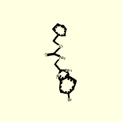 O=C(NCc1nc2cc(Br)ccc2[nH]1)OCc1ccccc1